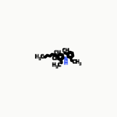 CCCCCC(C)(C)c1ccc(Nc2c(CC)cccc2CC)c(CC)c1